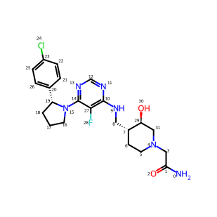 NC(=O)CN1CC[C@H](CNc2ncnc(N3CCC[C@@H]3c3ccc(Cl)cc3)c2F)[C@@H](O)C1